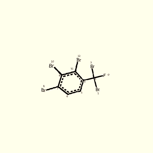 FC(Br)(Br)c1ccc(Br)c(Br)c1Br